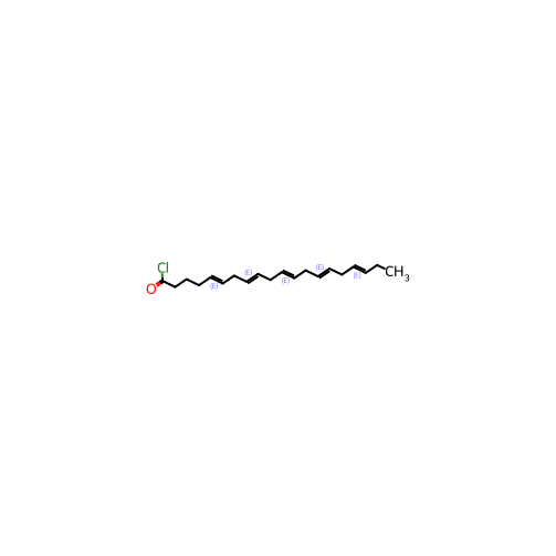 CC/C=C/C/C=C/C/C=C/C/C=C/C/C=C/CCCC(=O)Cl